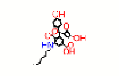 [CH2]CCCCCNc1cc(C(=O)O)cc2c1C(=O)OC21c2ccc(O)cc2Oc2cc(O)ccc21